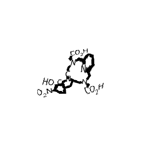 O=C(O)CN1CCN(CC(=O)O)C(Cc2ccc([N+](=O)[O-])cc2)CN(CC(=O)O)Cc2cccc(n2)C1